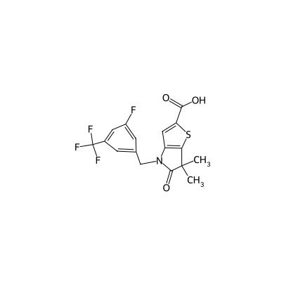 CC1(C)C(=O)N(Cc2cc(F)cc(C(F)(F)F)c2)c2cc(C(=O)O)sc21